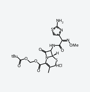 CO/N=C(\C(=O)NC1C(=O)N2C(C(=O)OCOC(=O)C(C)(C)C)=C(C)CS[C@@H]12)c1csc(N)n1.Cl